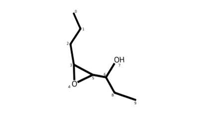 CCCC1OC1C(O)CC